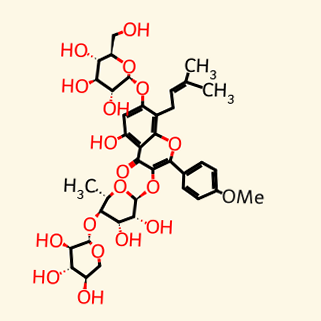 COc1ccc(-c2oc3c(CC=C(C)C)c(O[C@@H]4O[C@H](CO)[C@@H](O)[C@H](O)[C@H]4O)cc(O)c3c(=O)c2O[C@@H]2O[C@@H](C)[C@H](O[C@@H]3OC[C@@H](O)[C@H](O)[C@H]3O)[C@@H](O)[C@H]2O)cc1